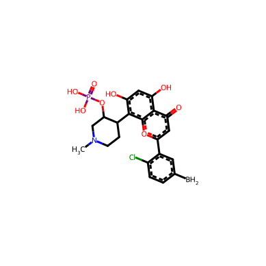 Bc1ccc(Cl)c(-c2cc(=O)c3c(O)cc(O)c(C4CCN(C)CC4OP(=O)(O)O)c3o2)c1